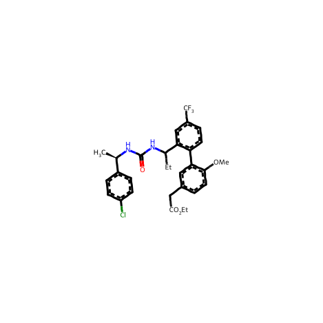 CCOC(=O)Cc1ccc(OC)c(-c2ccc(C(F)(F)F)cc2C(CC)NC(=O)N[C@H](C)c2ccc(Cl)cc2)c1